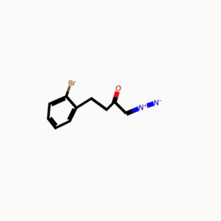 [N-]=[N+]=CC(=O)CCc1ccccc1Br